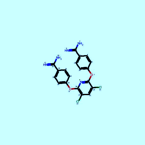 N=C(N)c1ccc(Oc2nc(Oc3ccc(C(=N)N)cc3)c(Cl)cc2Cl)cc1